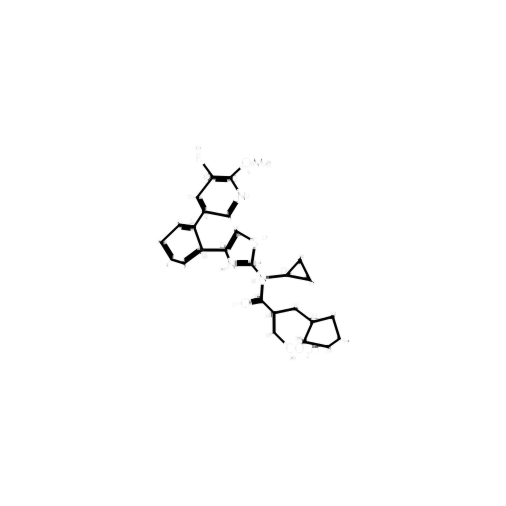 COc1ncc(-c2ccccc2-c2csc(N(C(=O)C(CC(=O)O)CC3CCCC3)C3CC3)n2)cc1F